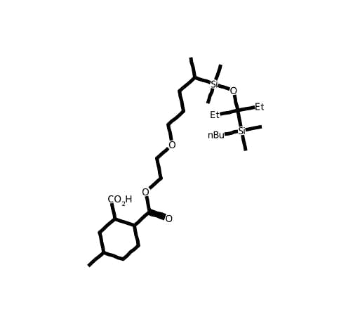 CCCC[Si](C)(C)C(CC)(CC)O[Si](C)(C)C(C)CCCOCCOC(=O)C1CCC(C)CC1C(=O)O